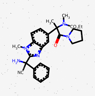 CCOC(=O)N(C)C(C)(C(=O)N1CCCC1)c1ccc2c(c1)nc(C(N)(C#N)c1ccccc1)n2C